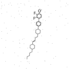 CCCCCC1CCC(/C=C/CCC2CCC(c3ccc(-c4ccc(OC)c(F)c4F)cc3)CC2)CC1